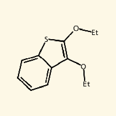 CCOc1sc2ccccc2c1OCC